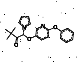 CC(C)(C)C(=O)C(Oc1ccc(Oc2ccccc2)nc1)n1cccc1